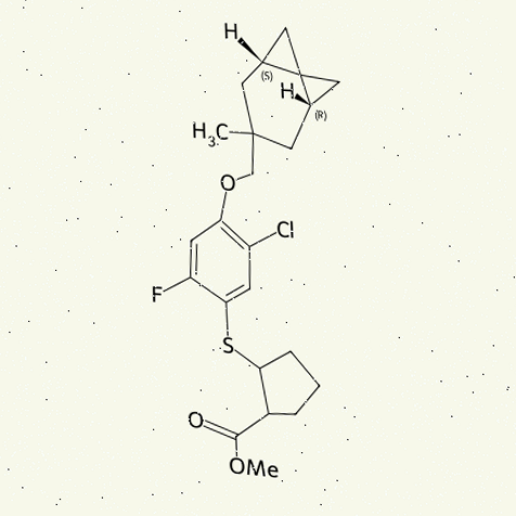 COC(=O)C1CCCC1Sc1cc(Cl)c(OCC2(C)C[C@@H]3CC34C[C@@H]4C2)cc1F